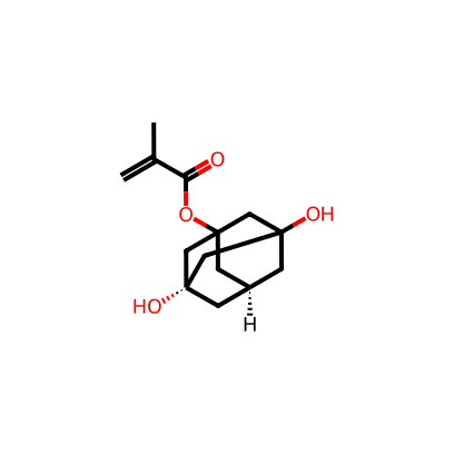 C=C(C)C(=O)OC12C[C@H]3CC(O)(C1)C[C@@](O)(C3)C2